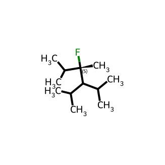 CC(C)C(C(C)C)[C@@](C)(F)C(C)C